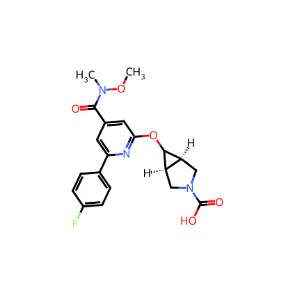 CON(C)C(=O)c1cc(OC2[C@H]3CN(C(=O)O)C[C@@H]23)nc(-c2ccc(F)cc2)c1